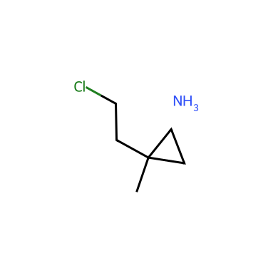 CC1(CCCl)CC1.N